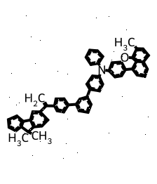 C=C(c1ccc(-c2cccc(-c3ccc(N(c4ccccc4)c4ccc5c(c4)Oc4c(C)ccc6cccc-5c46)cc3)c2)cc1)c1ccc2c(c1)-c1ccccc1C2(C)C